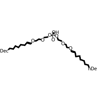 CCCCCCCCCCCCCCCCC=COCCOCCOP(=O)(O)OCCOCCOC=CCCCCCCCCCCCCCCCC